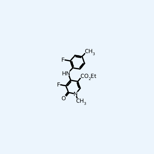 CCOC(=O)c1cn(C)c(=O)c(F)c1Nc1ccc(C)cc1F